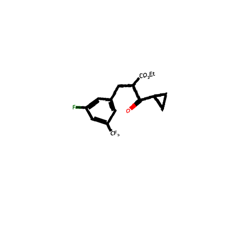 CCOC(=O)C(Cc1cc(F)cc(C(F)(F)F)c1)C(=O)C1CC1